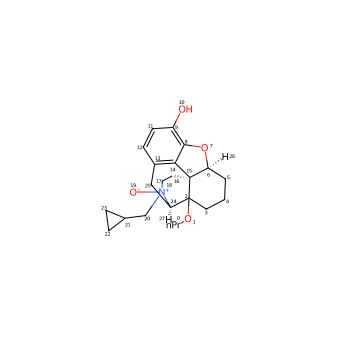 CCCOC12CCC[C@@H]3Oc4c(O)ccc5c4[C@@]31CC[N+]([O-])(CC1CC1)[C@@H]2C5